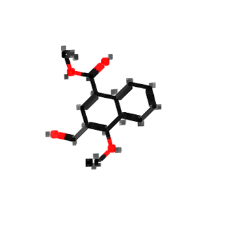 COC(=O)c1cc(C=O)c(OC)c2ccccc12